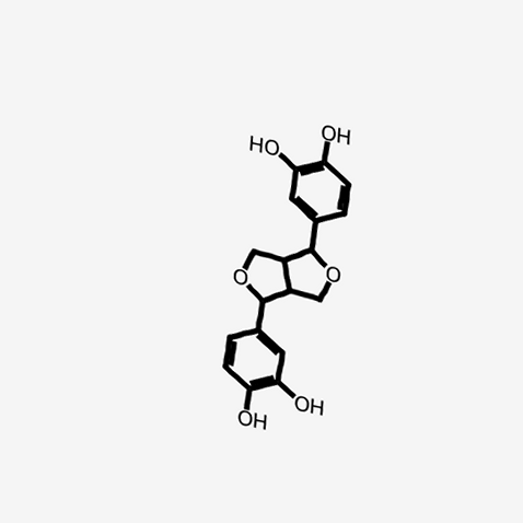 Oc1ccc(C2OCC3C(c4ccc(O)c(O)c4)OCC23)cc1O